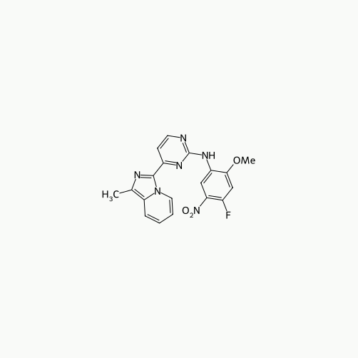 COc1cc(F)c([N+](=O)[O-])cc1Nc1nccc(-c2nc(C)c3ccccn23)n1